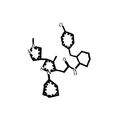 Cc1c(-c2cnn(C)c2)nn(-c2ccccc2)c1CC(=O)NC1CCCCC1Cc1ccc(Cl)cc1